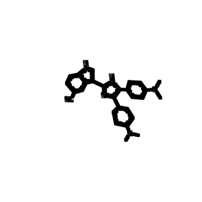 CN(C)c1ccc(-c2nc(-c3c[nH]c4ccc(C#N)cc34)[nH]c2-c2ccc(N(C)C)cc2)cc1